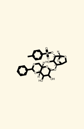 Cc1ccc(S(=O)(=O)O[C@H]2C(O)[C@H](O[C@@H]3O[C@H]4COC(c5ccccc5)O[C@H]4C(O)C3O)C3CO[C@@H]2O3)cc1